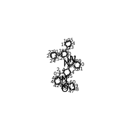 CC1(C)c2cc(-c3nc(-c4cc(-c5ccccc5)cc(-c5ccccc5)c4)nc4ccccc34)ccc2-n2c3c1cccc3c1oc3ccccc3c12